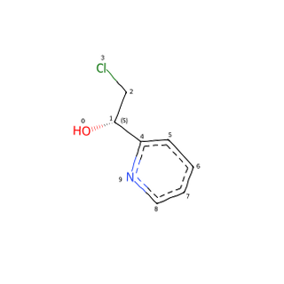 O[C@H](CCl)c1ccccn1